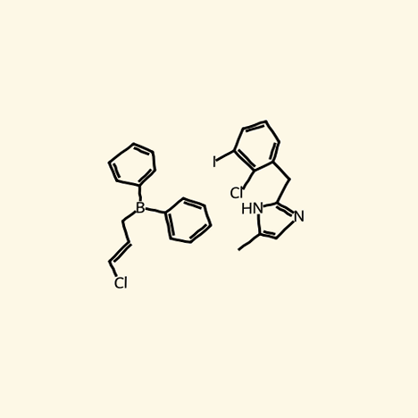 Cc1cnc(Cc2cccc(I)c2Cl)[nH]1.ClC=CCB(c1ccccc1)c1ccccc1